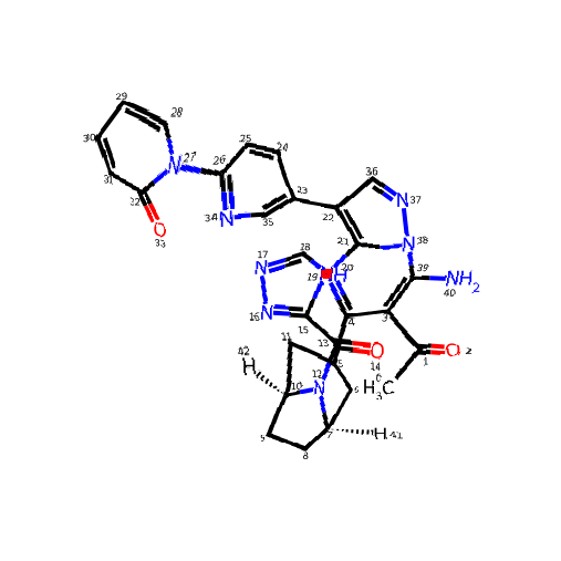 CC(=O)c1c(C2C[C@H]3CC[C@@H](C2)N3C(=O)c2nnc[nH]2)nc2c(-c3ccc(-n4ccccc4=O)nc3)cnn2c1N